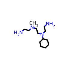 CN(CCN)CCN(CCN)C1CCCCC1